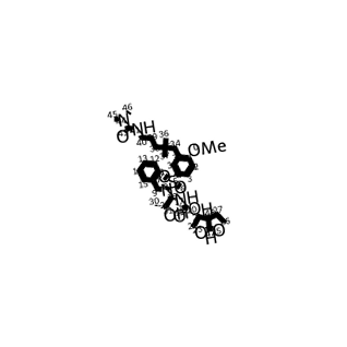 COc1ccc(S(=O)(=O)N(Cc2ccccc2)[C@H](NC(=O)O[C@H]2CO[C@H]3OCC[C@H]32)[C@@H](C)O)cc1CC(C)(C)CCCNC(=O)N(C)C